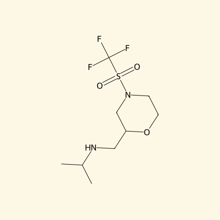 CC(C)NCC1CN(S(=O)(=O)C(F)(F)F)CCO1